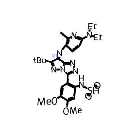 CCN(CC)c1ccc(/N=C2/C(C(C)(C)C)=Nn3c2nnc3-c2cc(OC)c(OC)cc2N[SH](=O)=O)c(C)n1